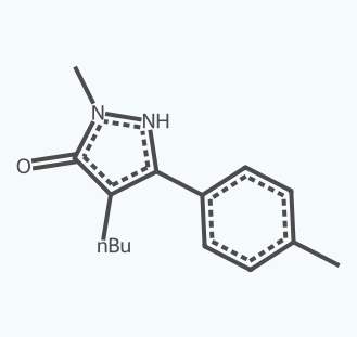 CCCCc1c(-c2ccc(C)cc2)[nH]n(C)c1=O